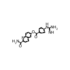 N=C(N)Nc1ccc(C(=O)Oc2ccc3nc(C(N)=O)ccc3c2)cc1